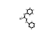 BrC(/C=N/c1ccccc1)=N/c1ccccc1